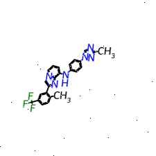 Cc1ncn(-c2ccc(Nc3cccn4cc(-c5cc(C(F)(F)F)ccc5C)nc34)cc2)n1